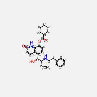 CCC(NCCc1ccccc1)C(O)c1ccc(OC(=O)C2CCCCC2)c2[nH]c(=O)ccc12